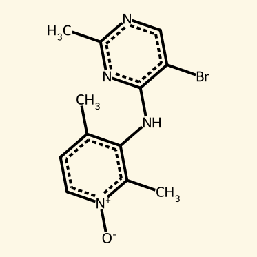 Cc1ncc(Br)c(Nc2c(C)cc[n+]([O-])c2C)n1